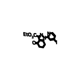 CCOC(=O)c1nn(-c2cc(I)ccn2)c2c1C(=O)CCC2